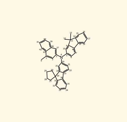 Cc1cc(N(c2ccc3c(c2)C(C)(C)c2ccccc2-3)c2ccc3c(c2)C2(CCCC2)c2ccccc2-3)cc2ccccc12